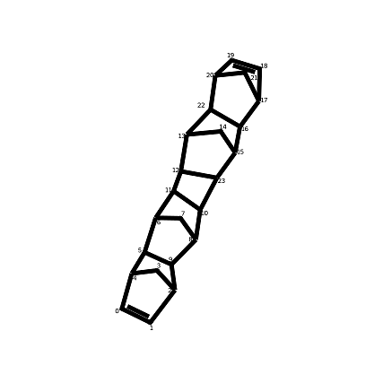 C1=CC2CC1C1C3CC(C21)C1C3C2C3CC(C4C5C=CC(C5)C34)C12